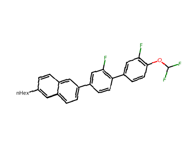 CCCCCCc1ccc2cc(-c3ccc(-c4ccc(OC(F)F)c(F)c4)c(F)c3)ccc2c1